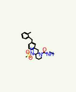 CCNC(=O)N1CCCC(NS(C)(=O)=O)C1Cc1cccc(Cc2ccccc2C)c1